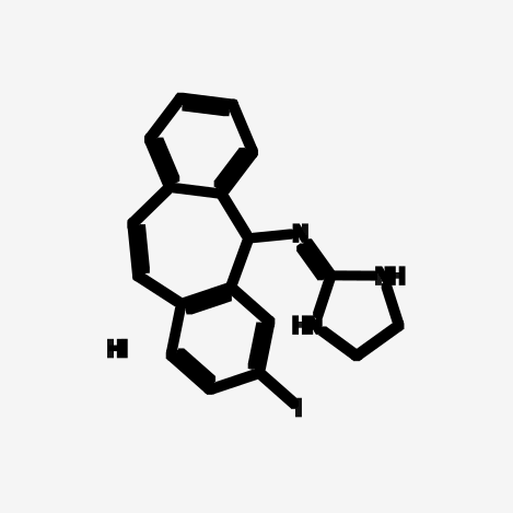 I.Ic1ccc2c(c1)C(N=C1NCCN1)c1ccccc1C=C2